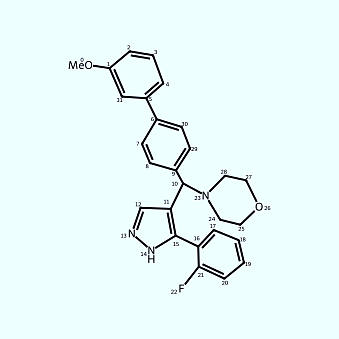 COc1cccc(-c2ccc(C(c3cn[nH]c3-c3ccccc3F)N3CCOCC3)cc2)c1